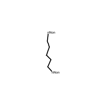 CCCCCCCCCCC[CH]CCCCCCCCCCC